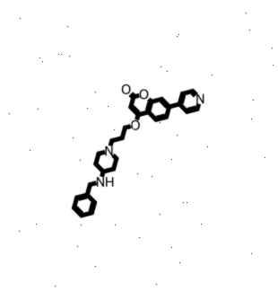 O=c1cc(OCCCN2CCC(NCc3ccccc3)CC2)c2ccc(-c3ccncc3)cc2o1